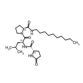 CCCCCCCCCCNC(=O)[C@@H]1CCCN1C(=O)[C@H](CC(C)C)NC(=O)[C@@H]1CCC(=O)N1